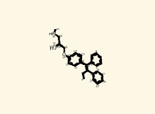 CCC(=C(c1ccccc1)c1ccc(OCC(O)CNC)cc1)c1ccccc1